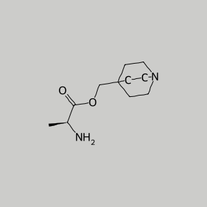 C[C@H](N)C(=O)OCC12CCN(CC1)CC2